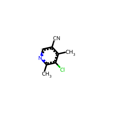 Cc1n[c]c(C#N)c(C)c1Cl